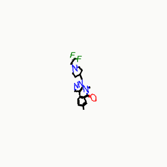 Cc1ccc2c(c1)c(=O)n(C)c1c2cnn1CC1CCN(CC(F)F)CC1